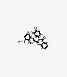 COc1cccc(/C=C/c2nc3ccccc3c(=O)n2-c2ccc(C(F)(F)F)c(C(F)(F)F)c2)c1O